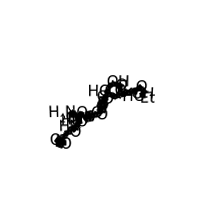 CC[C@H](O)[C@@H](C)[C@H]1O[C@@H]1C[C@@](C)(O)/C=C/C=C(\C)[C@H]1OC(=O)C[C@H](O)CC[C@@](C)(O)[C@@H](OC(=O)N2CCN(C(=O)OCc3ccc(NC(=O)[C@H](CC(N)=O)NC(=O)[C@H](C)NC(=O)CCCCCN4C(=O)C=CC4=O)cc3)CC2)/C=C/[C@@H]1C